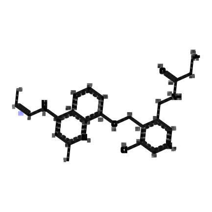 C/C=C\Nc1cc(C)nc2c(OCc3c(Cl)cncc3CNC(=O)CC(C)C)cccc12